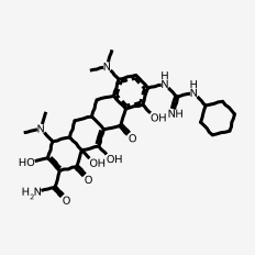 CN(C)c1cc(NC(=N)NC2CCCCC2)c(O)c2c1CC1CC3C(N(C)C)C(O)=C(C(N)=O)C(=O)C3(O)C(O)=C1C2=O